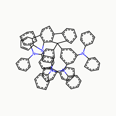 C1=CC2c3ccc4c(c3N(c3ccccc3)C2C=C1)C(c1cc(N(c2ccccc2)c2ccccc2)cc(N(c2ccccc2)c2ccccc2)c1)(c1cc(N(c2ccccc2)c2ccccc2)cc(N(c2ccccc2)c2ccccc2)c1)c1ccccc1-4